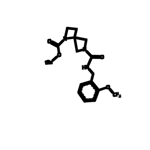 CC(C)(C)OC(=O)N1CCC12CN(C(=O)NCc1ccccc1OC(F)(F)F)C2